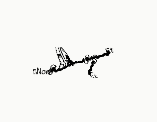 CC/C=C\CCCCOC(CCC(=O)OCCCCCCN(CCCCCCCC(=O)OCCCCCCCCC)CC(O)CO)OCCCC/C=C\CC